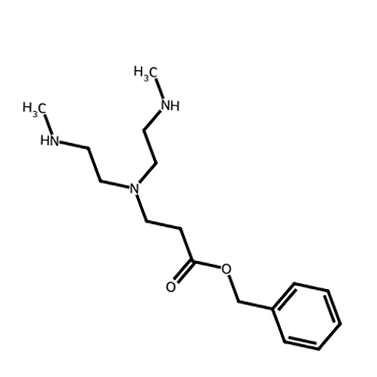 CNCCN(CCNC)CCC(=O)OCc1ccccc1